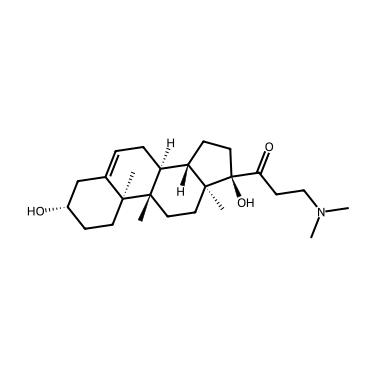 CN(C)CCC(=O)[C@@]1(O)CC[C@H]2[C@@H]3CC=C4C[C@@H](O)CC[C@]4(C)[C@@]3(C)CC[C@@]21C